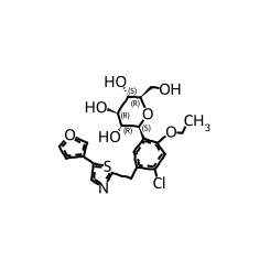 CCOc1cc(Cl)c(Cc2ncc(-c3ccoc3)s2)cc1[C@@H]1O[C@H](CO)[C@@H](O)[C@H](O)[C@H]1O